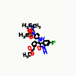 COC(=O)Cc1cccc(C(Nc2ccc(N(CC(=O)N(C)C)S(C)(=O)=O)cc2)=C2C(=O)Nc3cc(F)ccc32)c1